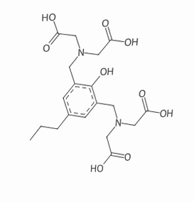 CCCc1cc(CN(CC(=O)O)CC(=O)O)c(O)c(CN(CC(=O)O)CC(=O)O)c1